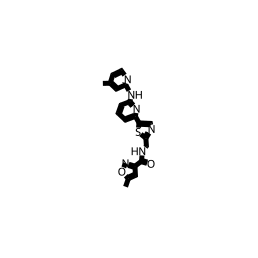 Cc1ccnc(Nc2cccc(-c3cnc(CNC(=O)c4cc(C)on4)s3)n2)c1